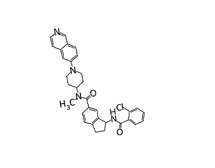 CN(C(=O)c1ccc2c(c1)C(NC(=O)c1ccccc1Cl)CC2)C1CCN(c2ccc3cnccc3c2)CC1